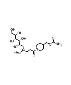 CCCCCCN(CCC(=O)N1CCC(COC(N)=O)CC1)C[C@H](O)[C@@H](O)[C@H](O)[C@H](O)CO